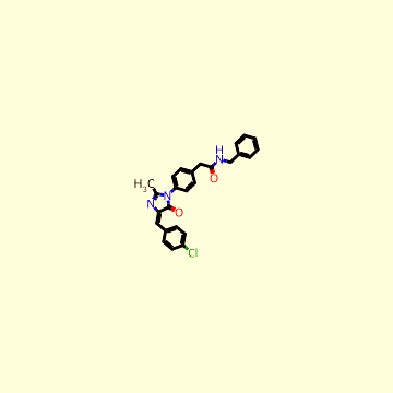 CC1=NC(=Cc2ccc(Cl)cc2)C(=O)N1c1ccc(CC(=O)NCc2ccccc2)cc1